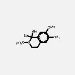 CCC1(C(C)(C)C)c2cc(OC)c(N)cc2CCN1C(=O)O